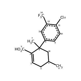 CC1CC=C(C(=O)O)C(C)(c2ccc(Cl)c(C(F)(F)F)c2)C1